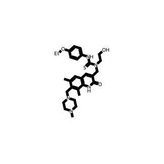 CCOc1ccc(NC(=S)N(CCO)Cc2cc3cc(C)c(CN4CCN(C)CC4)c(C)c3[nH]c2=O)cc1